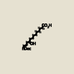 CCCCCCCCCCC=CCC(O)CCCCCCCCC(=O)O